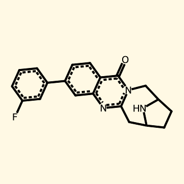 O=c1c2ccc(-c3cccc(F)c3)cc2nc2n1CC1CCC(C2)N1